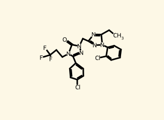 CCc1nc(Cn2nc(-c3ccc(Cl)cc3)n(CCC(F)(F)F)c2=O)nn1-c1ccccc1Cl